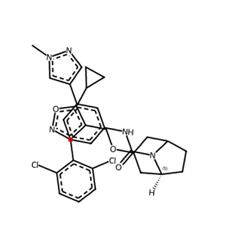 Cn1cc(-c2cccc(NC(=O)N3C4CC[C@H]3CC(OCc3c(-c5c(Cl)cccc5Cl)noc3C3CC3)C4)c2)cn1